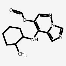 CC1CCCCC1Nc1c(OC=O)cnn2cncc12